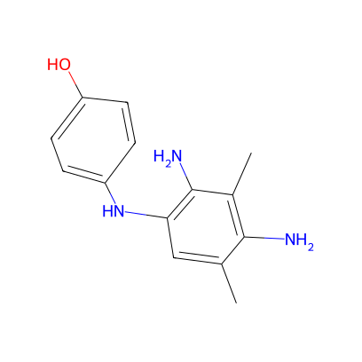 Cc1cc(Nc2ccc(O)cc2)c(N)c(C)c1N